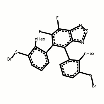 CCCCCCc1c(SBr)cccc1-c1c(F)c(F)c2nsnc2c1-c1cccc(SBr)c1CCCCCC